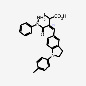 Cc1ccc(N2CCc3cc(/C=C(\C(=O)N(N)c4ccccc4)C(I)C(=O)O)ccc32)cc1